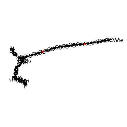 COCCOCCOCCOCCOCCOCCOCCOCCOCCOCCOCCOCCOCCOCCOCCOCCOCCOCCOCCOCCOCCOCCOCCCC(=O)O[C@@H]1C[C@@H](C(=O)NCc2ccc(-c3scnc3C)cc2)N(C(=O)[C@@H](NC(=O)COCCN2CCN(c3ccc(-c4cnc5[nH]cc(C(=O)c6c(F)ccc(NS(=O)(=O)N7CC[C@@H](F)C7)c6F)c5c4)cc3)CC2)C(C)(C)C)C1